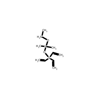 C=C[Si](C=C)(C=C)O[Si](C)(C)O[SiH2]C